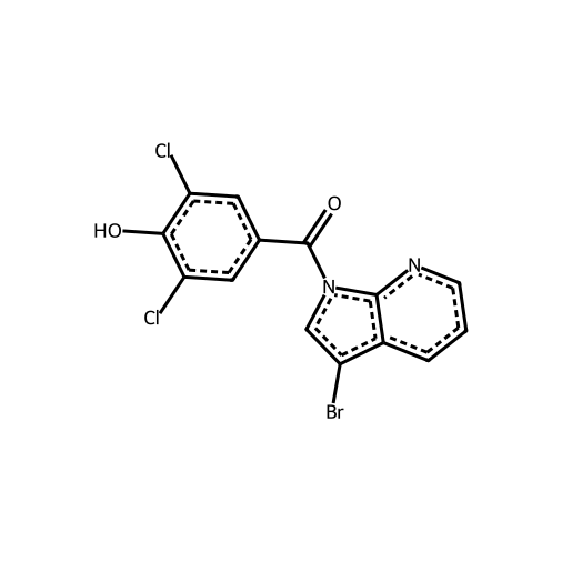 O=C(c1cc(Cl)c(O)c(Cl)c1)n1cc(Br)c2cccnc21